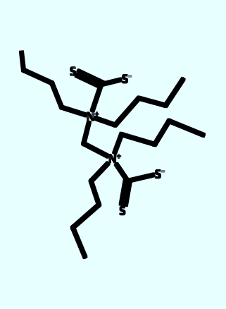 CCCC[N+](CCCC)(C[N+](CCCC)(CCCC)C(=S)[S-])C(=S)[S-]